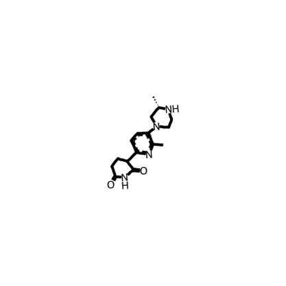 Cc1nc(C2CCC(=O)NC2=O)ccc1N1CCN[C@@H](C)C1